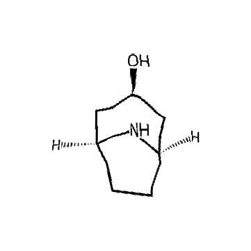 O[C@H]1C[C@H]2CC[C@@H](C1)N2